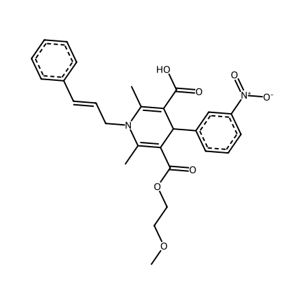 COCCOC(=O)C1=C(C)N(CC=Cc2ccccc2)C(C)=C(C(=O)O)C1c1cccc([N+](=O)[O-])c1